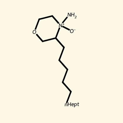 CCCCCCCCCCCCC1COCC[N+]1(N)[O-]